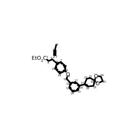 CC#C[C@@H](CC(=O)OCC)c1ccc(OCc2cccc(C3=CCC4(CC3)OCCO4)c2)cc1